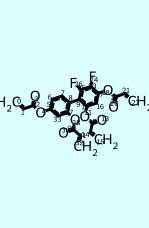 C=CC(=O)Oc1ccc(-c2c(OC(=O)C=C)cc(OC(=O)C=C)c(F)c2F)c(OC(=O)C=C)c1